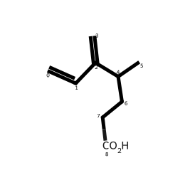 C=CC(=C)C(C)CCC(=O)O